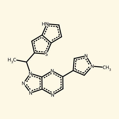 CC(c1cc2[nH]ccc2s1)n1nnc2ncc(-c3cnn(C)c3)nc21